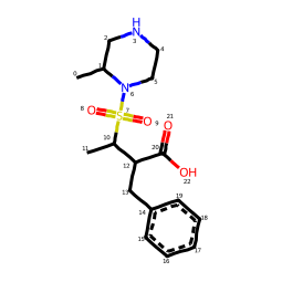 CC1CNCCN1S(=O)(=O)C(C)C(Cc1ccccc1)C(=O)O